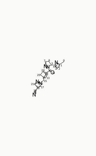 Cc1csc(C2CC=NN2C(=O)C2CC3(Cn4cc(C#N)cn4)CC2C3)n1